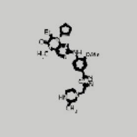 CCC1C(=O)N(C)c2cnc(Nc3ccc(-c4nnc(CN5CCNC(C)C5)o4)cc3OC)nc2N1C1CCCC1